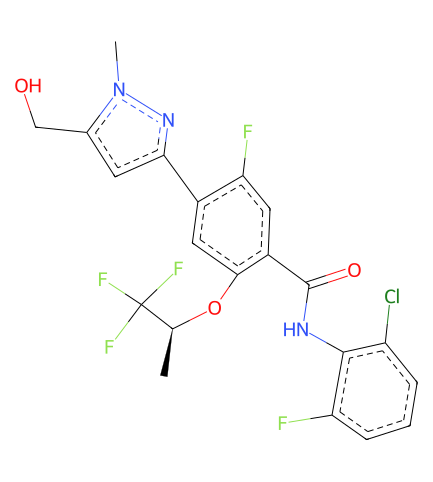 C[C@H](Oc1cc(-c2cc(CO)n(C)n2)c(F)cc1C(=O)Nc1c(F)cccc1Cl)C(F)(F)F